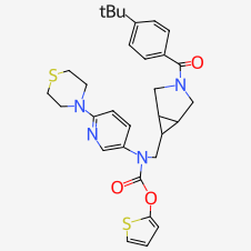 CC(C)(C)c1ccc(C(=O)N2CC3C(C2)C3CN(C(=O)Oc2cccs2)c2ccc(N3CCSCC3)nc2)cc1